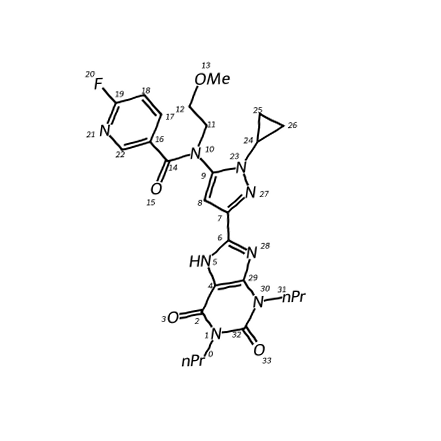 CCCn1c(=O)c2[nH]c(-c3cc(N(CCOC)C(=O)c4ccc(F)nc4)n(C4CC4)n3)nc2n(CCC)c1=O